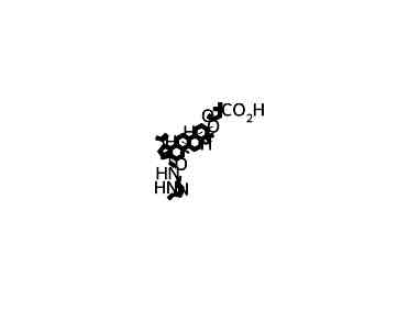 C=C(C)[C@@H]1CC[C@]2(CC(=O)NCc3ncc(C)[nH]3)CC[C@]3(C)[C@H](CC[C@@H]4[C@@]5(C)CC[C@H](OC(=O)CC(C)(C)C(=O)O)C(C)(C)[C@@H]5CC[C@]43C)[C@@H]12